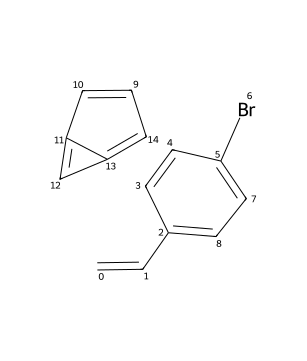 C=Cc1ccc(Br)cc1.c1cc2cc-2c1